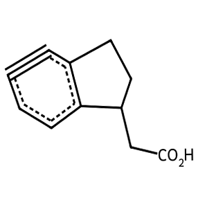 O=C(O)CC1CCc2c#cccc21